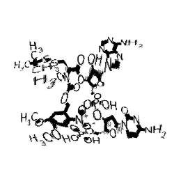 COc1cc(COC(=O)N(C)[C@@H](CSSC(C)(C)C)C(=O)O[C@H]2[C@@H](O)[C@H](n3cnc4c(N)ncnc43)O[C@@H]2COP(=O)(O)O[C@H]2C[C@H](n3ccc(N)nc3=O)O[C@@H]2COP(=O)(O)O)c([N+](=O)[O-])cc1OC